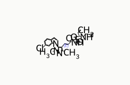 C=CC(NCC1CC1)S(=O)(=O)NC(=O)/C=C/c1c(C)nn(C)c1-n1ccc2ccc(Cl)cc21